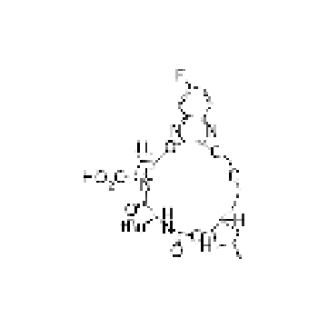 C[C@@H]1C[C@H]2CCCCCc3nc4ccc(F)cc4nc3O[C@H]3CN(C(=O)[C@H](C(C)(C)C)NC(=O)O[C@@H]2C1)[C@H](C(=O)O)[C@@H]3C